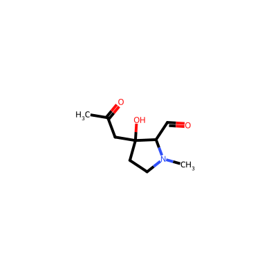 CC(=O)CC1(O)CCN(C)C1C=O